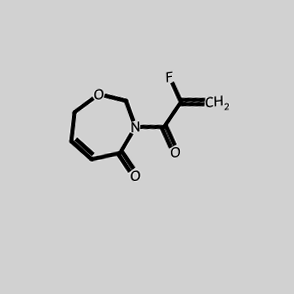 C=C(F)C(=O)N1COCC=CC1=O